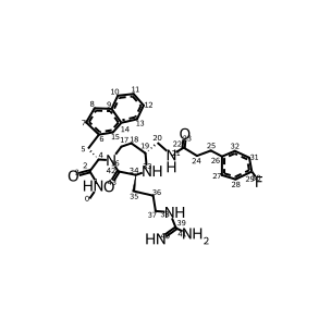 CNC(=O)[C@H](Cc1ccc2ccccc2c1)N1CC[C@H](CNC(=O)CCc2ccc(F)cc2)N[C@@H](CCCNC(=N)N)C1=O